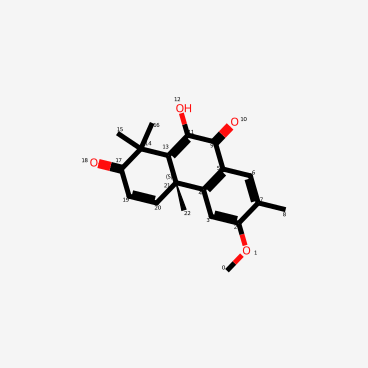 COc1cc2c(cc1C)C(=O)C(O)=C1C(C)(C)C(=O)C=C[C@]12C